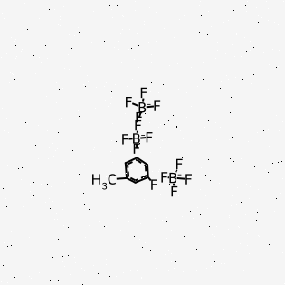 Cc1cccc(F)c1.F[B-](F)(F)F.F[B-](F)(F)F.F[B-](F)(F)F